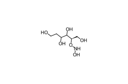 OCCC(O)C(O)[C@@H](CO)ONO